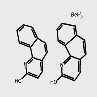 Oc1ccc2ccc3ccccc3c2n1.Oc1ccc2ccc3ccccc3c2n1.[BeH2]